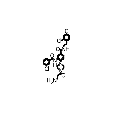 NCCC(=O)N1CCN(c2ccc(C(=O)NCCc3ccc(Cl)cc3Cl)cc2NC(=O)c2cccc(Cl)c2)CC1